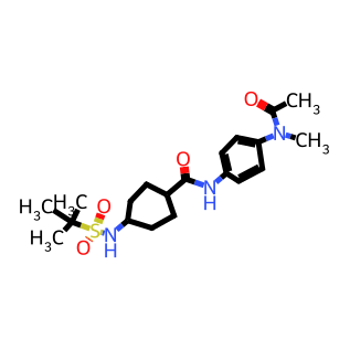 CC(=O)N(C)c1ccc(NC(=O)C2CCC(NS(=O)(=O)C(C)(C)C)CC2)cc1